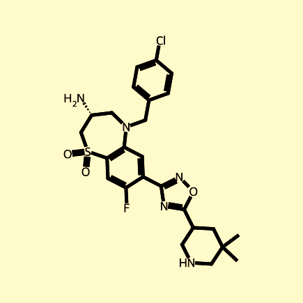 CC1(C)CNCC(c2nc(-c3cc4c(cc3F)S(=O)(=O)C[C@H](N)CN4Cc3ccc(Cl)cc3)no2)C1